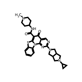 CN1CCC(NC(=O)c2c(=O)c3cnc(N4CC5CN(C6CC6)CC5C4)nc3n3c2sc2ccccc23)CC1